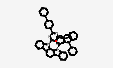 CCc1c(-c2cccc(-c3ccccc3)c2)nc(-c2ccc(-c3ccccc3)cc2)nc1-n1c2ccccc2c2ccc3c4ccccc4n(-c4cccc(-c5ccccc5)c4)c3c21